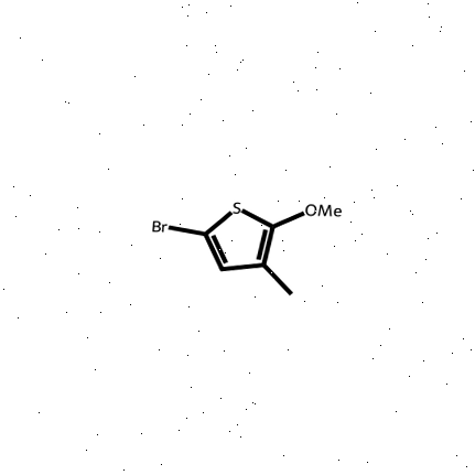 COc1sc(Br)cc1C